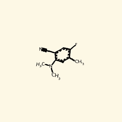 Cc1cc(N(C)C)c(C#N)cc1F